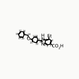 CCc1cc(C(=O)O)cc2nc(-c3ccc(OCc4ccccc4)cc3)[nH]c12